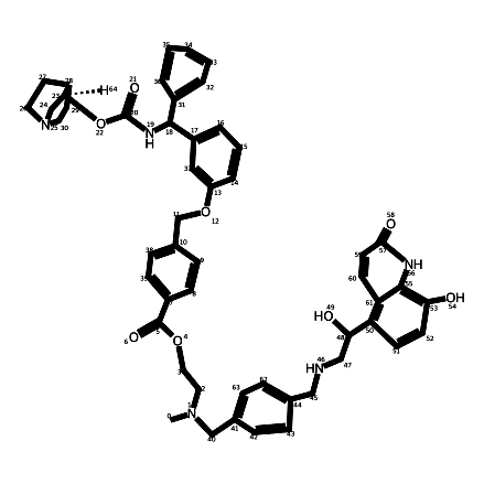 CN(CCOC(=O)c1ccc(COc2cccc(C(NC(=O)O[C@H]3CN4CCC3CC4)c3ccccc3)c2)cc1)Cc1ccc(CNCC(O)c2ccc(O)c3[nH]c(=O)ccc23)cc1